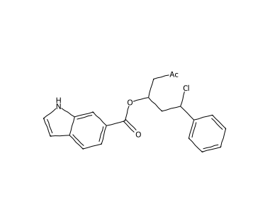 CC(=O)CC(CC(Cl)c1ccccc1)OC(=O)c1ccc2cc[nH]c2c1